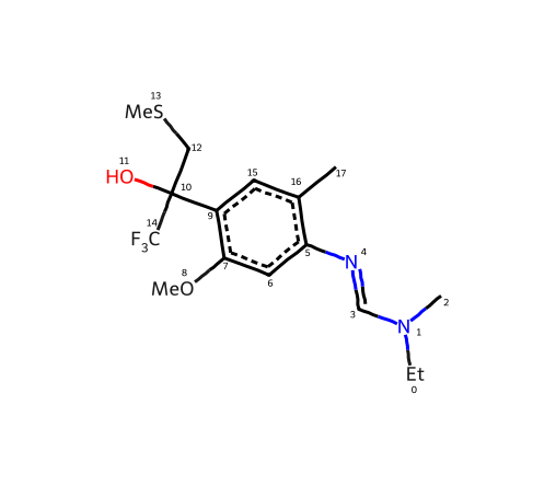 CCN(C)C=Nc1cc(OC)c(C(O)(CSC)C(F)(F)F)cc1C